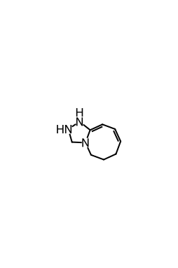 C1=CCCCN2CNNC2=C1